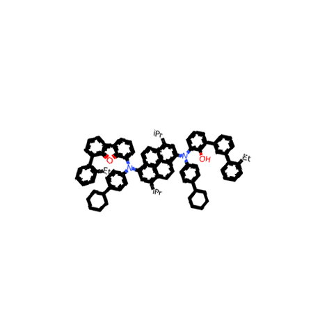 CCc1ccccc1-c1cccc(-c2cccc(N(c3ccc(C4CCCCC4)cc3)c3cc(C(C)C)c4ccc5c(N(c6ccc(C7CCCCC7)cc6)c6cccc7c6oc6c(-c8ccccc8CC)cccc67)cc(C(C)C)c6ccc3c4c65)c2O)c1